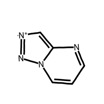 C1=CN2N=[N+]C=C2N=C1